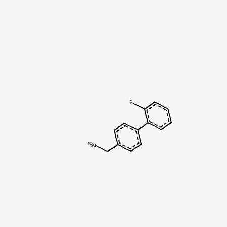 CCC(C)Cc1ccc(-c2ccccc2F)cc1